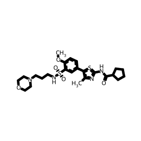 COc1ccc(-c2sc(NC(=O)C3CCCC3)nc2C)cc1S(=O)(=O)NCCCN1CCOCC1